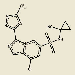 N#CC1(NS(=O)(=O)c2cc(Cl)c3cnc(-c4nnc(C(F)(F)F)s4)n3c2)CC1